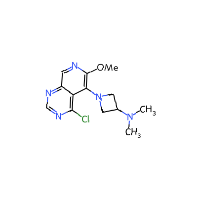 COc1ncc2ncnc(Cl)c2c1N1CC(N(C)C)C1